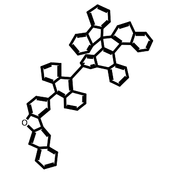 c1ccc2c(c1)-c1ccccc1C21c2ccc3ccccc3c2-c2c1c1ccc(-c3c4ccccc4c(-c4ccc5oc6cc7ccccc7cc6c5c4)c4ccccc34)cc1c1ccccc21